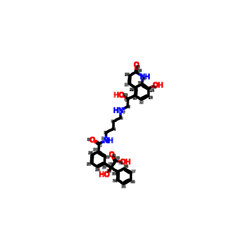 O=C(NCCCCNCC(O)c1ccc(O)c2[nH]c(=O)ccc12)c1cccc(C(O)(C(=O)O)c2ccccc2)c1